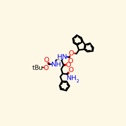 CC(C)(C)OC(=O)NC[C@H](NC(=O)OCC1c2ccccc2-c2ccccc21)C(=O)CC(Cc1ccccc1)C(N)=O